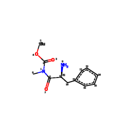 CN(C(=O)OC(C)(C)C)C(=O)[C@@H](N)Cc1ccccc1